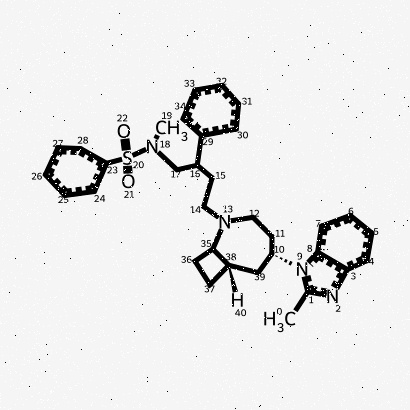 Cc1nc2ccccc2n1[C@H]1CCN(CCC(CN(C)S(=O)(=O)c2ccccc2)c2ccccc2)C2CC[C@H]2C1